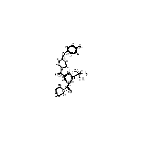 CC(C)(C)c1cc(C(=O)N2CCOCC2)cc(C(=O)N2CCC(Oc3ccc(Cl)cc3)CC2)c1